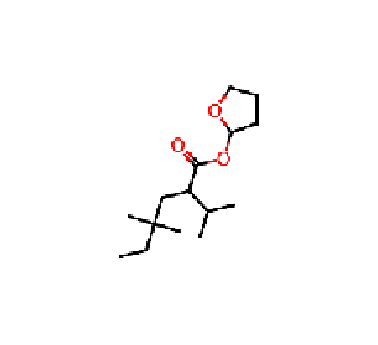 CCC(C)(C)CC(C(=O)OC1CCCO1)C(C)C